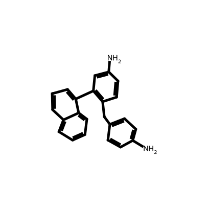 Nc1ccc(Cc2ccc(N)cc2-c2cccc3ccccc23)cc1